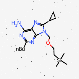 CCCCc1nc(N)c2nc(C3CC3)n(COCC[Si](C)(C)C)c2n1